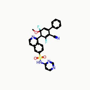 COC1(F)C=C(c2ccccc2)C(C#N)=C(F)C1c1nccc2cc(S(=O)(=O)Nc3ccncn3)ccc12